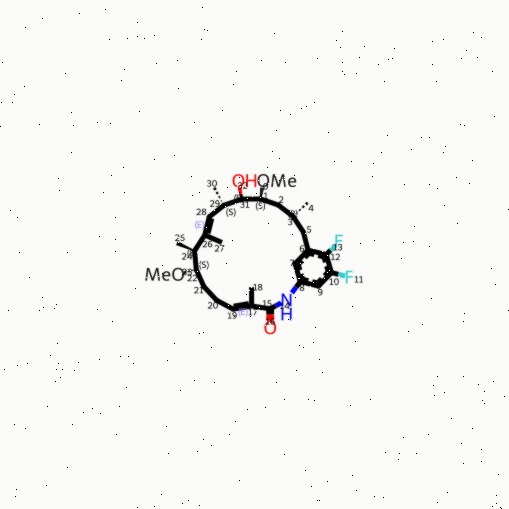 CO[C@H]1C[C@H](C)Cc2cc(cc(F)c2F)NC(=O)/C(C)=C/CC[C@H](OC)[C@@H](C)/C(C)=C/[C@H](C)[C@H]1O